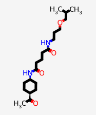 CC(=O)[C@H]1CC[C@@H](NC(=O)CCCC(=O)NCCCOCC(C)C)CC1